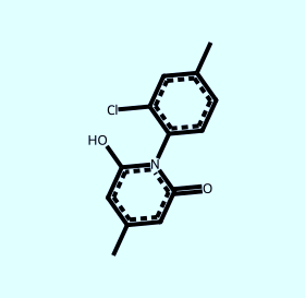 Cc1ccc(-n2c(O)cc(C)cc2=O)c(Cl)c1